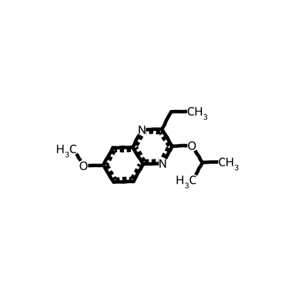 CCc1nc2cc(OC)ccc2nc1OC(C)C